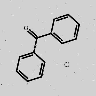 O=C(c1ccccc1)c1ccccc1.[C]